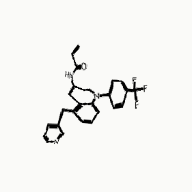 C=CC(=O)NC1Cc2c(Cc3cccnc3)cccc2N(c2ccc(C(F)(F)F)cc2)C1